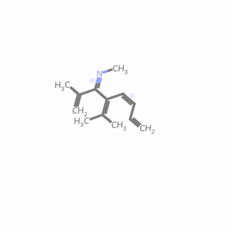 C=C/C=C\C(=C(C)C)/C(=N\C)C(=C)C